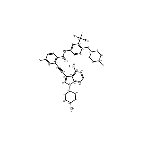 Cc1ccc(C(=O)Nc2ccc(CN3CCN(C)CC3)c(C(F)(F)F)c2)c(C#Cc2cn(C3CCC(O)CC3)c3ncnc(N)c23)c1